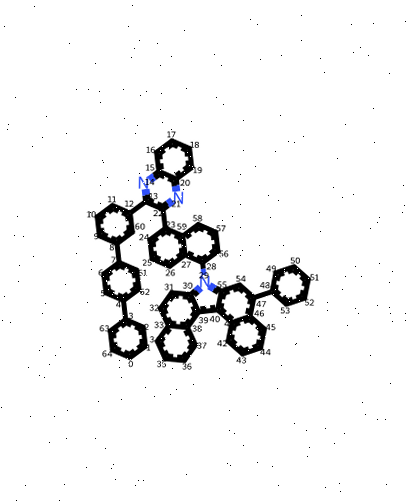 c1ccc(-c2ccc(-c3cccc(-c4nc5ccccc5nc4-c4cccc5c(-n6c7ccc8ccccc8c7c7c8ccccc8c(-c8ccccc8)cc76)cccc45)c3)cc2)cc1